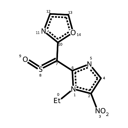 CCn1c([N+](=O)[O-])cnc1C(=S=O)c1ncco1